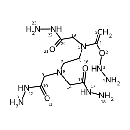 C=C(ONN)N(CCN(CC(=O)NN)CC(=O)NN)CC(=O)NN